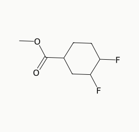 COC(=O)C1CCC(F)C(F)C1